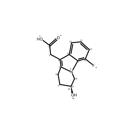 O=C(O)Cc1c2n(c3c(F)cccc13)C[C@@H](O)CC2